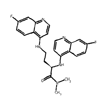 CN(C)C(=O)[C@@H](CCNc1ccnc2cc(F)ccc12)Nc1ccnc2cc(F)ccc12